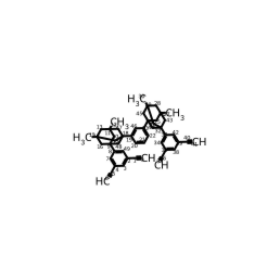 C#Cc1cc(C#C)cc(C23CC4(C)CC(C)(C2)CC(c2cccc(C56CC7(C)CC(C)(CC(c8cc(C#C)cc(C#C)c8)(C7)C5)C6)c2)(C4)C3)c1